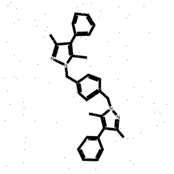 Cc1nn(Cc2ccc(Cn3nc(C)c(-c4ccccc4)c3C)cc2)c(C)c1-c1ccccc1